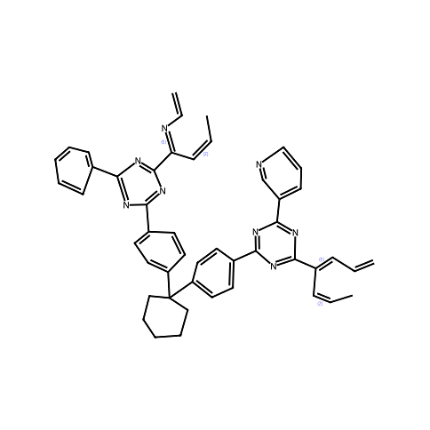 C=C/C=C(\C=C/C)c1nc(-c2ccc(C3(c4ccc(-c5nc(C(/C=C\C)=N/C=C)nc(-c6ccccc6)n5)cc4)CCCCC3)cc2)nc(-c2cccnc2)n1